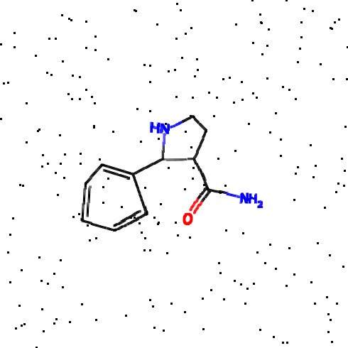 NC(=O)C1CCNC1c1ccccc1